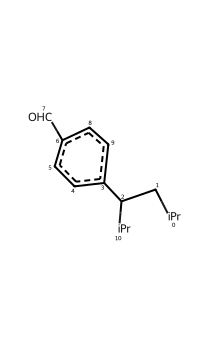 CC(C)CC(c1ccc(C=O)cc1)C(C)C